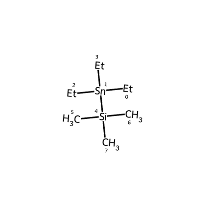 C[CH2][Sn]([CH2]C)([CH2]C)[Si](C)(C)C